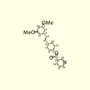 COc1cc(C=Cc2ccc(OC(=O)c3cccnc3)cc2)cc(OC)c1